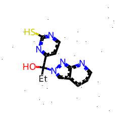 CCC(O)(c1ccnc(S)n1)n1cc2cccnc2n1